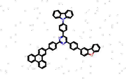 c1ccc2c(c1)oc1ccc(-c3ccc(-c4cc(-c5ccc(-n6c7ccccc7c7ccccc76)cc5)nc(-c5ccc(-c6ccc7c8ccccc8c8ccccc8c7c6)cc5)n4)cc3)cc12